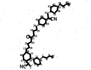 N#CC(C[C@H]1CC[C@H](CCCF)CC1)C1CCC(CCCCC(=O)CCCC[C@H]2CC[C@H](C(C#N)C[C@H]3CC[C@H](CCCF)CC3)CC2)CC1